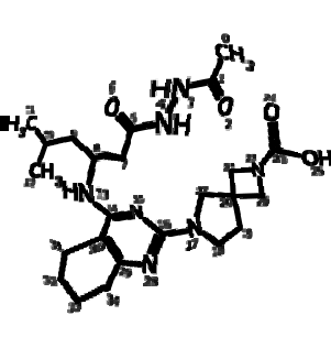 CC(=O)NNC(=O)CC(CC(C)C)Nc1nc(N2CCC3(CN(C(=O)O)C3)C2)nc2c1CCCC2